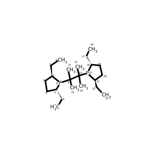 CC[C@@H]1CC[C@@H](CC)P1C(C)(C)C(C)(C)P1[C@H](CC)CC[C@H]1CC